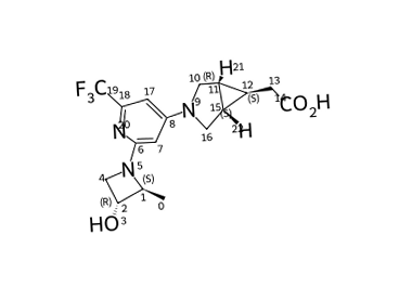 C[C@H]1[C@H](O)CN1c1cc(N2C[C@@H]3[C@@H](CC(=O)O)[C@@H]3C2)cc(C(F)(F)F)n1